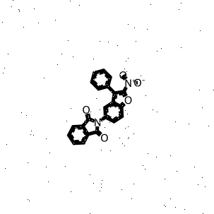 O=C1c2ccccc2C(=O)N1c1ccc2oc([N+](=O)[O-])c(-c3ccccc3)c2c1